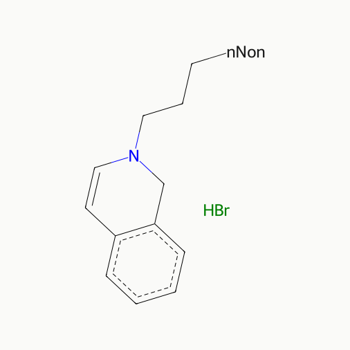 Br.CCCCCCCCCCCCN1C=Cc2ccccc2C1